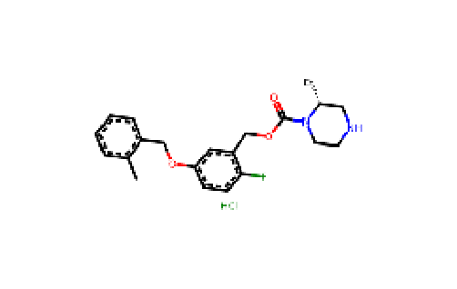 CC[C@@H]1CNCCN1C(=O)OCc1cc(OCc2ccccc2C)ccc1F.Cl